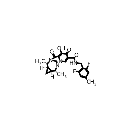 Cc1cc(F)c(CNC(=O)c2cn3c(c(O)c2=O)C(=O)N2CN3[C@H](C)[C@H]3C[C@H]3[C@@H]2C)c(F)c1